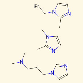 CN(C)CCCn1ccnc1.Cc1nccn1C.Cc1nccn1CC(C)C